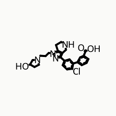 O=C(O)c1cccc(-c2cc(-c3nn(CCCN4CCC(O)C4)c4c3CNCC4)ccc2Cl)c1